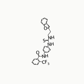 O=C(Nc1ccc(NC(=S)NCCc2cc3ccccc3o2)cc1)c1ccccc1C(F)(F)F